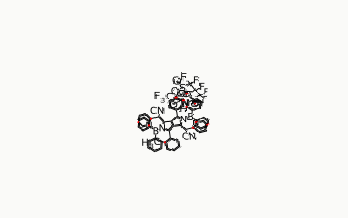 Cc1ccccc1-c1c2/c(=C(\C#N)c3ccccn3)n(B(c3ccccc3)c3ccccc3)c(-c3ccc(OS(=O)(=O)C(F)(F)C(F)(F)C(F)(F)S(=O)(=O)NS(=O)(=O)C(F)(F)F)cc3)c2/c(=C(\C#N)c2ccccn2)n1B(c1ccccc1)c1ccccc1